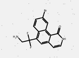 NCC(F)(F)c1cc2cc[nH]c(=O)c2c2cc(Br)ccc12